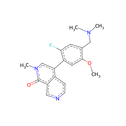 COc1cc(-c2cn(C)c(=O)c3cnccc23)c(F)cc1CN(C)C